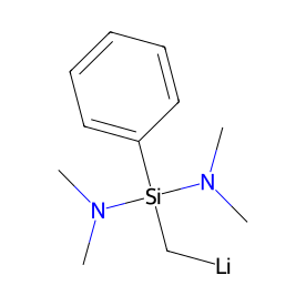 [Li][CH2][Si](c1ccccc1)(N(C)C)N(C)C